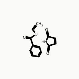 C=COC(=O)c1ccccc1.O=C1C=CC(=O)N1